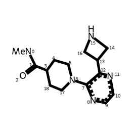 CNC(=O)C1CCN(c2nccnc2C2CNC2)CC1